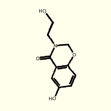 O=C1c2cc(O)ccc2OCN1CCO